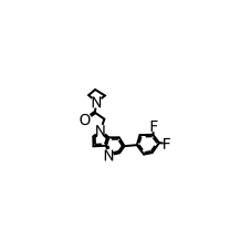 O=C(Cn1ccc2ncc(-c3ccc(F)c(F)c3)cc21)N1CCC1